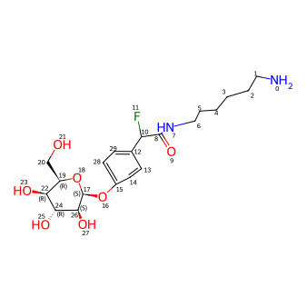 NCCCCCCNC(=O)C(F)c1ccc(O[C@@H]2O[C@H](CO)[C@H](O)[C@@H](O)[C@@H]2O)cc1